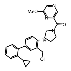 COc1cncc(C(=O)N2CC[C@H](c3ccc(-c4ccccc4C4CC4)cc3CO)C2)n1